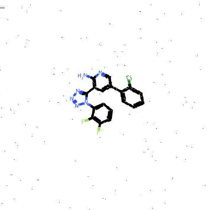 Nc1ncc(-c2ccccc2Cl)cc1-c1nnnn1-c1cccc(F)c1F